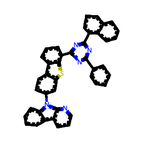 c1ccc(-c2nc(-c3cccc4ccccc34)nc(-c3cccc4c3sc3cc(-n5c6ccccc6c6cccnc65)ccc34)n2)cc1